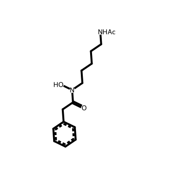 CC(=O)NCCCCCN(O)C(=O)Cc1ccccc1